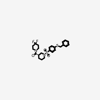 O=C([C@@H]1CCCN(S(=O)(=O)c2ccc(SCc3ccccc3)cc2)C1)N1CCC(F)(F)CC1